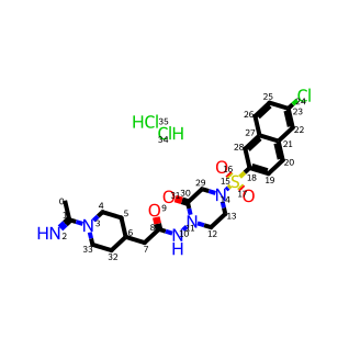 CC(=N)N1CCC(CC(=O)NN2CCN(S(=O)(=O)c3ccc4cc(Cl)ccc4c3)CC2=O)CC1.Cl.Cl